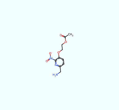 CC(=O)OCCOc1ccc(CN)nc1[N+](=O)[O-]